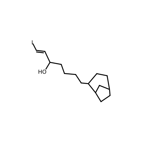 OC(C=CI)CCCCC1CCC2CCC1C2